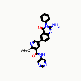 COc1ncc(-c2ccc3nc(N)n(-c4ccccc4)c(=O)c3c2)cc1C(=O)Nc1cncnc1